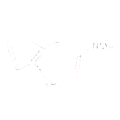 CNC(=O)Cc1sccc1C